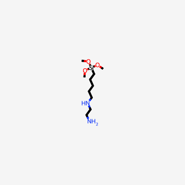 CO[Si](CCCCCNCCN)(OC)OC